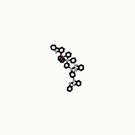 c1ccc([Si](c2ccccc2)(c2cccc(-n3c4ccc(-n5c6ccccc6n6c7ccccc7nc56)cc4n4c5ccccc5nc34)c2)c2ccccc2-c2ccccc2-c2cccc3c2sc2ccccc23)cc1